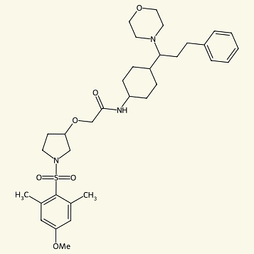 COc1cc(C)c(S(=O)(=O)N2CCC(OCC(=O)NC3CCC(C(CCc4ccccc4)N4CCOCC4)CC3)C2)c(C)c1